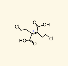 O=C(O)/C(CCCl)=C(\CCCl)C(=O)O